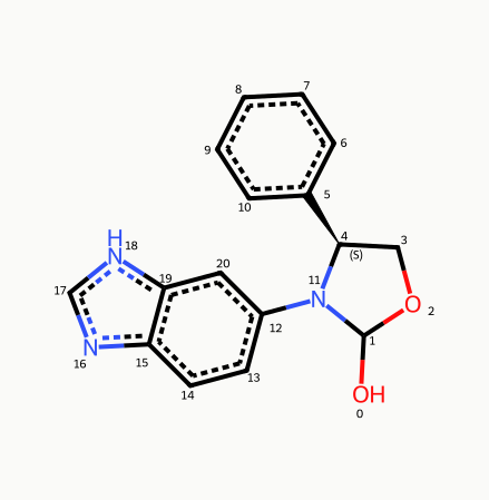 OC1OC[C@H](c2ccccc2)N1c1ccc2nc[nH]c2c1